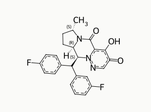 C[C@H]1CC[C@@H]2[C@H](C(c3ccc(F)cc3)c3cccc(F)c3)n3ncc(=O)c(O)c3C(=O)N21